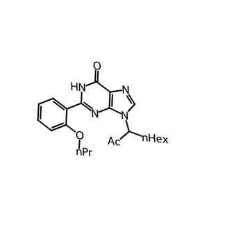 CCCCCCC(C(C)=O)n1cnc2c(=O)[nH]c(-c3ccccc3OCCC)nc21